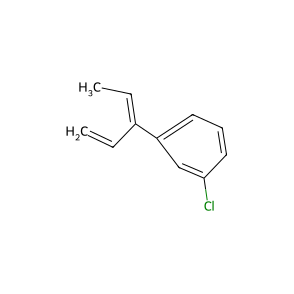 C=C/C(=C\C)c1cccc(Cl)c1